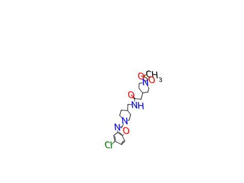 CS(=O)(=O)N1CCC(CC(=O)NCC2CCN(c3nc4cc(Cl)ccc4o3)CC2)CC1